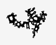 COc1ccc(C[C@@H]2[C@H](OC(=O)NCCN3CCN(Cc4ccccc4)CC3)[C@@H](OC(=O)OC(C)(C)C)CN2C(=O)OC(C)(C)C)cc1